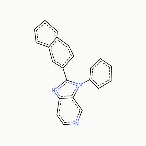 c1ccc(-n2c(-c3ccc4ccccc4c3)nc3ccncc32)cc1